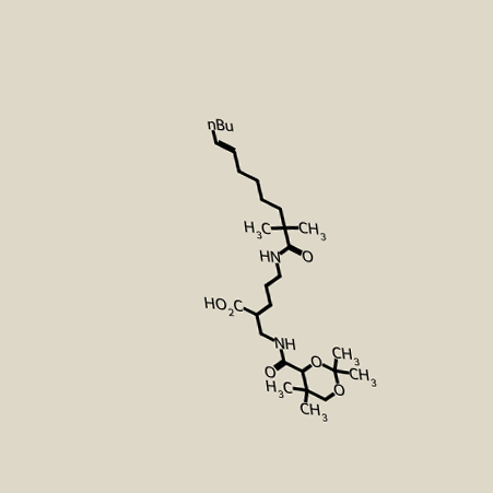 CCCCC=CCCCCC(C)(C)C(=O)NCCCC(CNC(=O)C1OC(C)(C)OCC1(C)C)C(=O)O